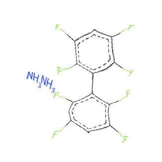 Fc1cc(F)c(F)c(-c2c(F)c(F)cc(F)c2F)c1F.N.N